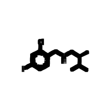 CC(C)[C@H](C)CNCc1ccc(F)cc1Cl